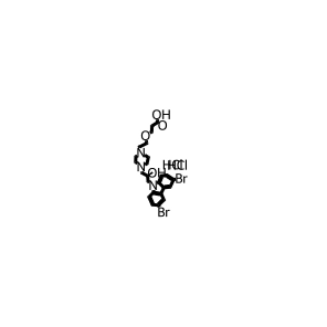 Cl.Cl.O=C(O)CCOCCN1CCN(C[C@@H](O)Cn2c3ccc(Br)cc3c3cc(Br)ccc32)CC1